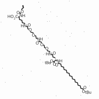 C=CCOC(=O)NC(CCCCNC(=O)COCCOCCNC(=O)COCCOCCNC(=O)CC[C@H](NC(=O)CCCCCCCCCCCCCCCCC(=O)OC(C)(C)C)C(=O)OC(C)(C)C)C(=O)O